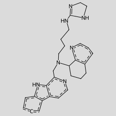 c1cnc2c(c1)CCCC2N(CCCCNC1=NCCN1)Cc1nccc2c1[nH]c1ccccc12